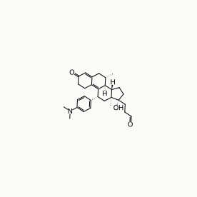 C[C@H]1CC2=CC(=O)CCC2=C2[C@@H]1[C@@H]1CC[C@@](O)(CCC=O)[C@@]1(C)C[C@@H]2c1ccc(N(C)C)cc1